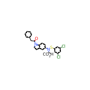 O=C(O)CN(Sc1cc(Cl)cc(Cl)c1)c1ccc2c(ccn2C(=O)Cc2ccccc2)c1